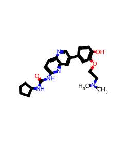 CN(C)CCOc1cc(-c2cnc3ccc(NC(=O)NC4CCCC4)nc3c2)ccc1O